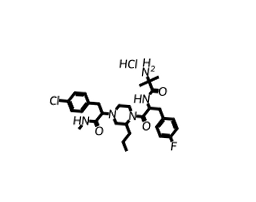 CCCC1CN(C(Cc2ccc(Cl)cc2)C(=O)NC)CCN1C(=O)C(Cc1ccc(F)cc1)NC(=O)C(C)(C)N.Cl